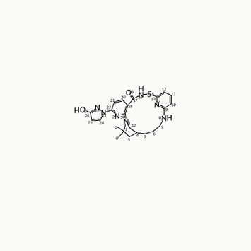 CC1(C)CC2CCCNc3cccc(n3)SNC(=O)c3ccc(-n4ccc(O)n4)nc3N1C2